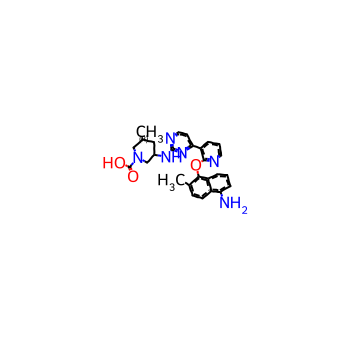 Cc1ccc2c(N)cccc2c1Oc1ncccc1-c1ccnc(NC2C[C@@H](C)CN(C(=O)O)C2)n1